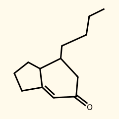 CCCCC1CC(=O)C=C2CCCC21